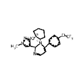 Cn1cc(C2N=CC=C(c3ccc(OC(F)(F)F)cc3)N2[C@H]2CCCC[C@H]2O)cn1